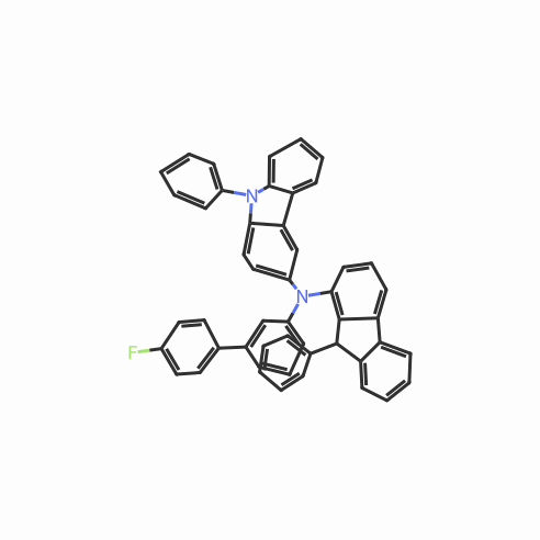 Fc1ccc(-c2cccc(N(c3ccc4c(c3)c3ccccc3n4-c3ccccc3)c3cccc4c3C(c3ccccc3)c3ccccc3-4)c2)cc1